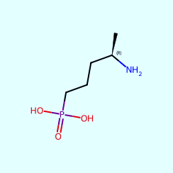 C[C@@H](N)CCCP(=O)(O)O